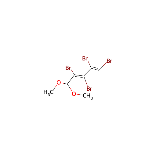 COC(OC)C(Br)=C(Br)C(Br)=CBr